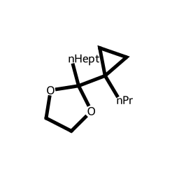 [CH2]CCC1(C2(CCCCCCC)OCCO2)CC1